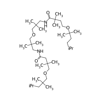 CC(C)CCC(C)(C)OCCC(C)(C)C(=O)NCC(C)(C)COCC(C)(C)CNC(=O)CC(C)(C)COCC(C)(C)CC(C)C